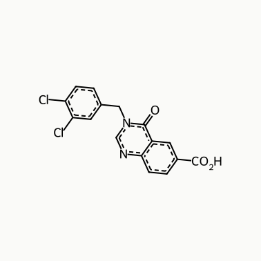 O=C(O)c1ccc2ncn(Cc3ccc(Cl)c(Cl)c3)c(=O)c2c1